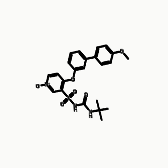 COc1ccc(-c2cccc(Oc3cc[n+]([O-])cc3S(=O)(=O)NC(=O)NC(C)(C)C)c2)cc1